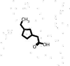 CCC1CCC(CC(=O)O)C1